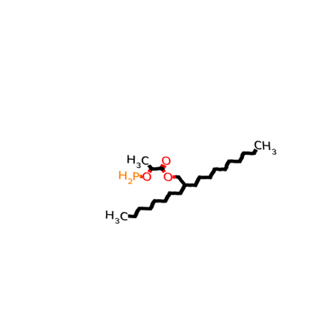 CCCCCCCCCCC(CCCCCCCC)COC(=O)C(C)OP